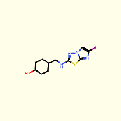 OC1CCC(CNc2nn3cc(I)nc3s2)CC1